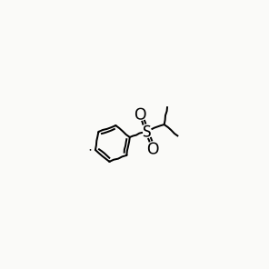 CC(C)S(=O)(=O)c1cc[c]cc1